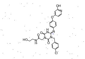 O=C(Cn1c(=O)[nH]/c(=N\c2ccc(Oc3ccnc(O)c3)cc2)n(Cc2ccc(Cl)cc2)c1=O)NCCO